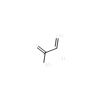 C=CC(=O)OC.[SiH4]